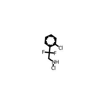 FC(F)(CNCl)c1ccccc1Cl